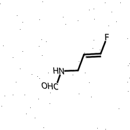 O=CNCC=CF